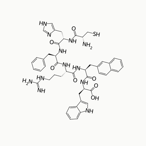 N=C(N)NCCC[C@H](NC(=O)[C@@H](Cc1ccccc1)NC(=O)[C@H](Cc1c[nH]cn1)NC(=O)[C@@H](N)CS)C(=O)N[C@@H](Cc1ccc2ccccc2c1)C(=O)N[C@H](Cc1c[nH]c2ccccc12)C(=O)O